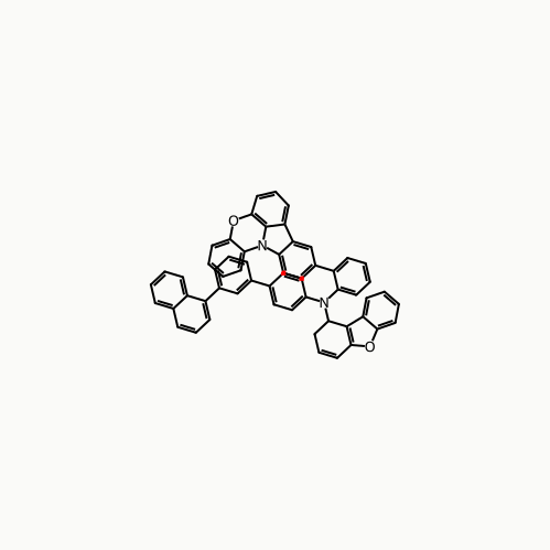 C1=Cc2oc3ccccc3c2C(N(c2ccc(-c3cccc(-c4cccc5ccccc45)c3)cc2)c2ccccc2-c2ccc3c(c2)c2cccc4c2n3-c2ccccc2O4)C1